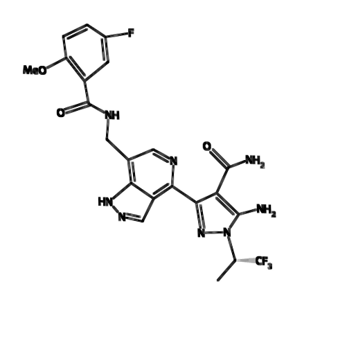 COc1ccc(F)cc1C(=O)NCc1cnc(-c2nn([C@@H](C)C(F)(F)F)c(N)c2C(N)=O)c2cn[nH]c12